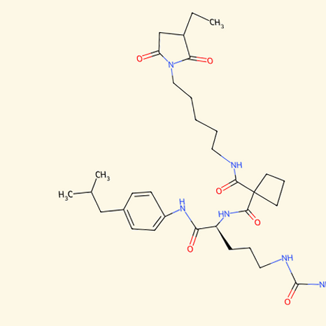 CCC1CC(=O)N(CCCCCNC(=O)C2(C(=O)N[C@@H](CCCNC(N)=O)C(=O)Nc3ccc(CC(C)C)cc3)CCC2)C1=O